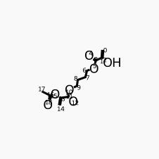 C=C(O)C(=O)OCCCCOC(=O)C(=C)OC(C)=O